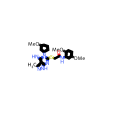 COc1cccc(-n2c(SCC(=O)Nc3cc(OC)ccc3OC)nc3[nH]nc(C)c3c2=N)c1